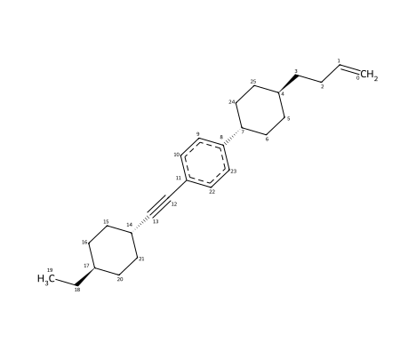 C=CCC[C@H]1CC[C@H](c2ccc(C#C[C@H]3CC[C@H](CC)CC3)cc2)CC1